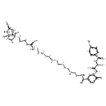 Cc1ccc(C(=O)NCCOCCOCCOCCOCCNC(=O)CCCC[C@@H]2SC[C@@H]3NC(=O)N[C@@H]32)cc1NC(=O)C(=O)CC(=O)c1ccc(F)cc1